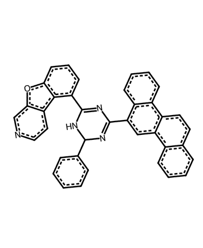 c1ccc(C2N=C(c3cc4c5ccccc5ccc4c4ccccc34)N=C(c3cccc4oc5cnccc5c34)N2)cc1